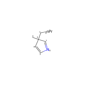 CCCCC1(C)C=CN=C1